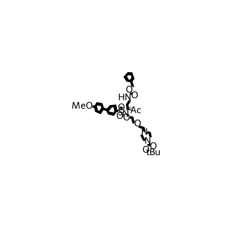 COc1ccc(-c2ccc(S(=O)(=O)N(OCCOCCN3CCN(C(=O)OC(C)(C)C)CC3)[C@H](CCNC(=O)OCc3ccccc3)C(C)=O)cc2)cc1